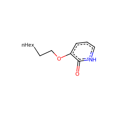 CCCCCCCCOc1ccc[nH]c1=O